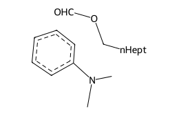 CCCCCCCCOC=O.CN(C)c1ccccc1